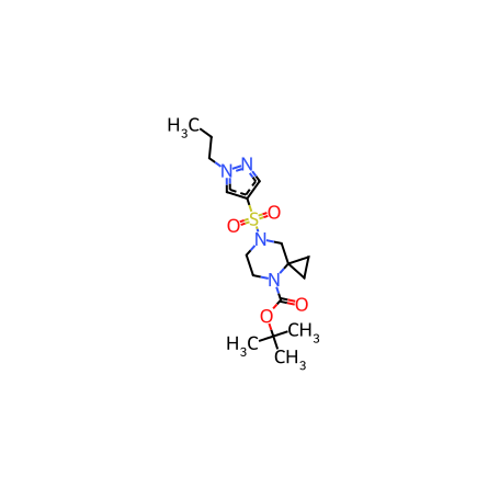 CCCn1cc(S(=O)(=O)N2CCN(C(=O)OC(C)(C)C)C3(CC3)C2)cn1